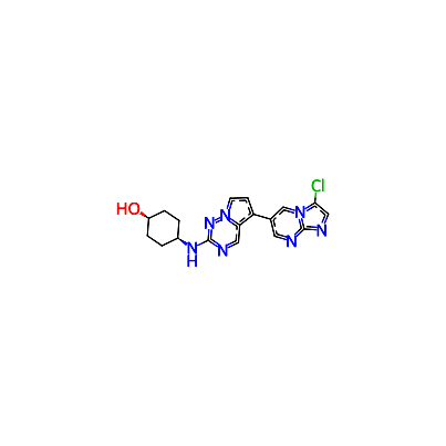 O[C@H]1CC[C@@H](Nc2ncc3c(-c4cnc5ncc(Cl)n5c4)ccn3n2)CC1